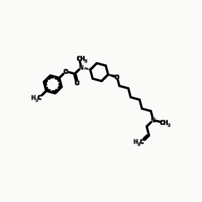 C=CCN(C)CCCCCCO[C@H]1CC[C@H](N(C)C(=O)Oc2ccc(C)cc2)CC1